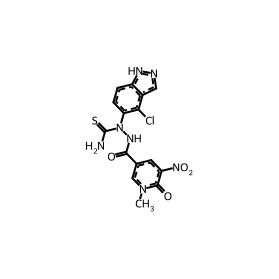 Cn1cc(C(=O)NN(C(N)=S)c2ccc3[nH]ncc3c2Cl)cc([N+](=O)[O-])c1=O